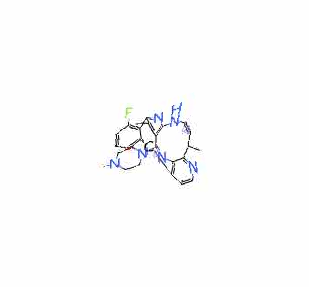 Cc1cc2c3nc1-c1c(F)cccc1Cc1ccnc(c1/N=C\2N1CCN(C)CC1)C(C)/C=C\N3